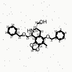 Cc1c(OCc2ccccc2)c2c(c3c1OCO3)[C@@H](COCc1ccccc1)N[C@H](CO)C2